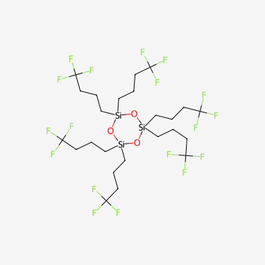 FC(F)(F)CCC[Si]1(CCCC(F)(F)F)O[Si](CCCC(F)(F)F)(CCCC(F)(F)F)O[Si](CCCC(F)(F)F)(CCCC(F)(F)F)O1